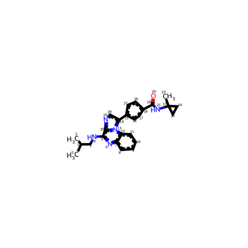 CC(C)CNc1nc2ccccc2n2c(-c3ccc(C(=O)NC4(C)CC4)cc3)cnc12